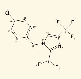 FC(F)c1nc(C(F)(F)F)cn1Cc1ncc(Cl)cn1